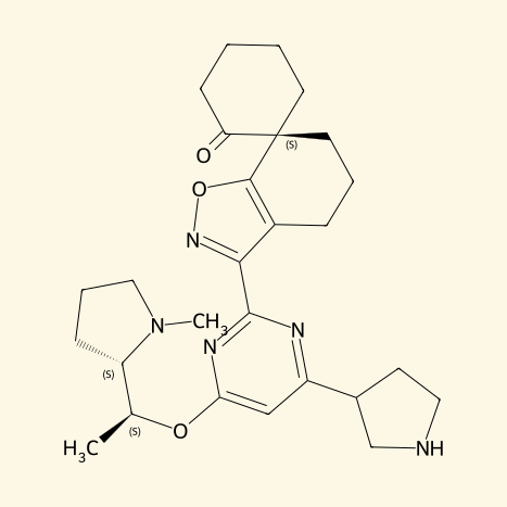 C[C@H](Oc1cc(C2CCNC2)nc(-c2noc3c2CCC[C@@]32CCCCC2=O)n1)[C@@H]1CCCN1C